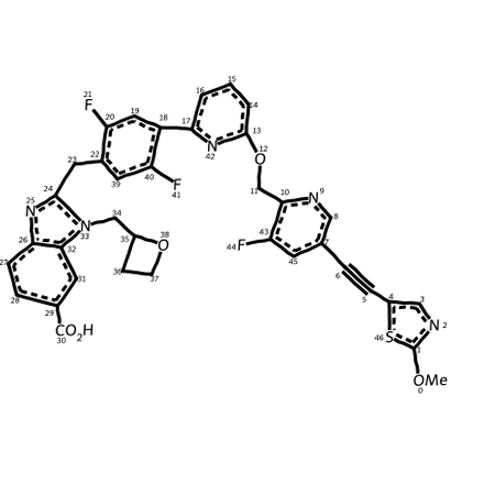 COc1ncc(C#Cc2cnc(COc3cccc(-c4cc(F)c(Cc5nc6ccc(C(=O)O)cc6n5CC5CCO5)cc4F)n3)c(F)c2)s1